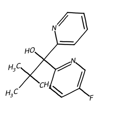 CC(C)(C)C(O)(c1ccccn1)c1ccc(F)cn1